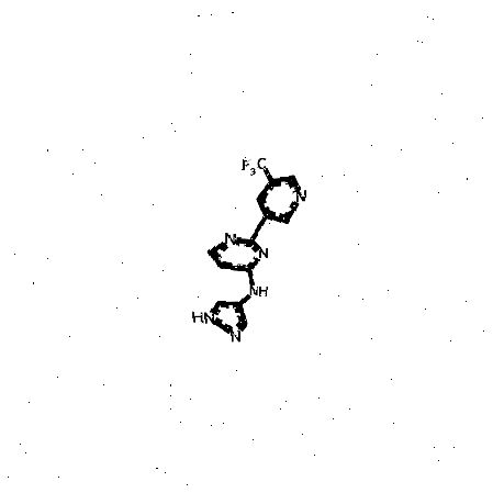 FC(F)(F)c1cncc(-c2nccc(Nc3cn[nH]c3)n2)c1